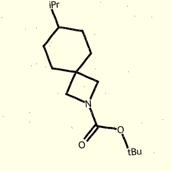 CC(C)C1CCC2(CC1)CN(C(=O)OC(C)(C)C)C2